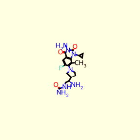 Cc1c(N2CC[C@@H]([C@@H](N)CNC(N)=O)C2)c(F)cc2c(=O)n(N)c(=O)n(C3CC3)c12